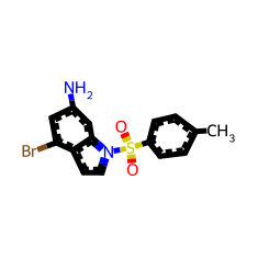 Cc1ccc(S(=O)(=O)n2ccc3c(Br)cc(N)cc32)cc1